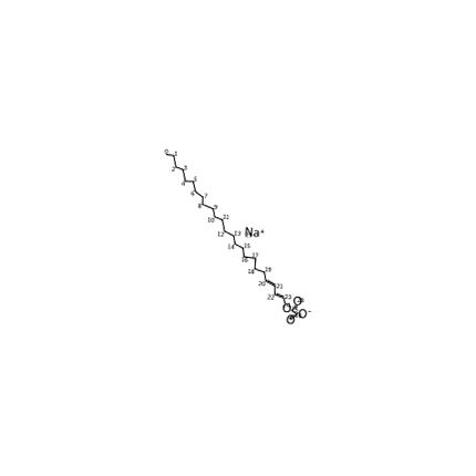 CCCCCCCCCCCCCCCCCCCCC=CC=COS(=O)(=O)[O-].[Na+]